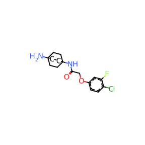 NC12CCC(NC(=O)COc3ccc(Cl)c(F)c3)(CC1)CC2